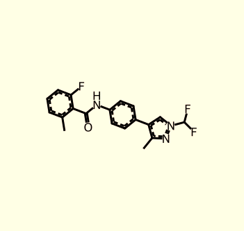 Cc1cccc(F)c1C(=O)Nc1ccc(-c2cn(C(F)F)nc2C)cc1